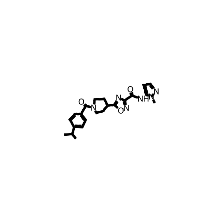 CC(C)c1ccc(C(=O)N2CCC(c3nc(C(=O)Nc4ccnn4C)no3)CC2)cc1